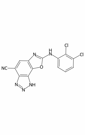 N#Cc1cc2nc(Nc3cccc(Cl)c3Cl)oc2c2[nH]nnc12